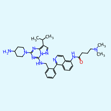 CC(C)c1cnn2c(NCc3ccccc3-c3nccc4c(NC(=O)CCCN(C)C)cccc34)nc(N3CCC(N)CC3)nc12